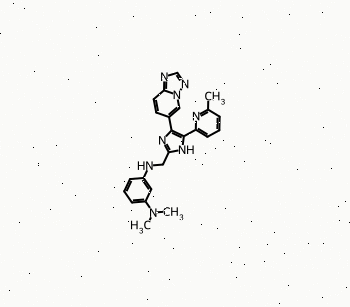 Cc1cccc(-c2[nH]c(CNc3cccc(N(C)C)c3)nc2-c2ccc3ncnn3c2)n1